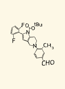 Cc1cc(C=O)ccc1N1CCc2c(cc(-c3c(F)cccc3F)n2C(=O)OC(C)(C)C)C1